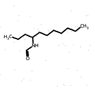 CCCCCCCC(CCC)NC=O